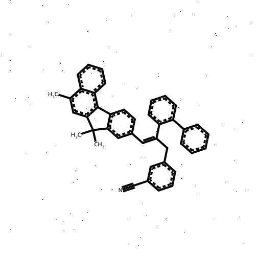 Cc1cc2c(c3ccccc13)-c1ccc(/C=C(/Cc3cccc(C#N)c3)c3ccccc3-c3ccccc3)cc1C2(C)C